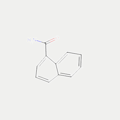 NC(=O)c1cccc2c[c]ccc12